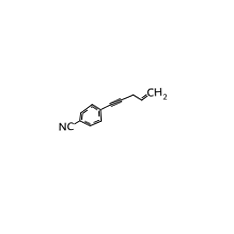 C=CCC#Cc1ccc(C#N)cc1